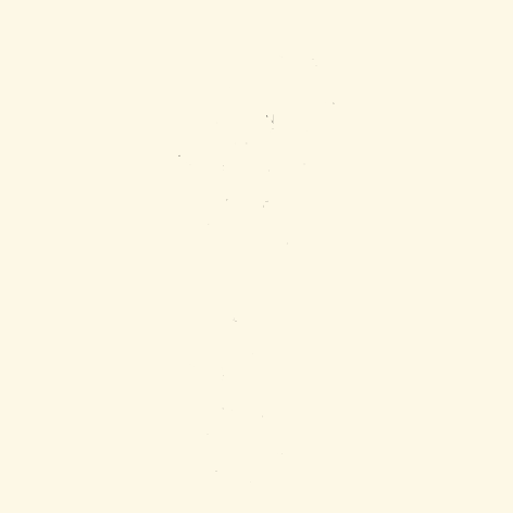 CCCCC(CC)(C(=O)c1ccc(SCCC(=O)c2ccccc2)cc1)N1CCOCC1